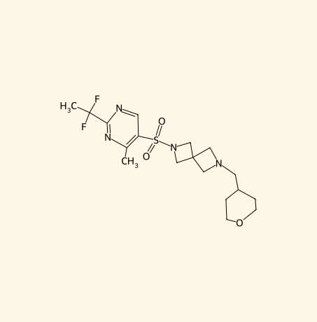 Cc1nc(C(C)(F)F)ncc1S(=O)(=O)N1CC2(CN(CC3CCOCC3)C2)C1